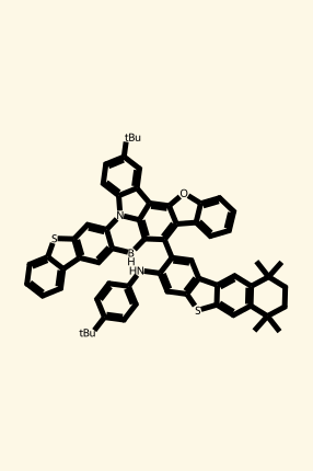 CC(C)(C)c1ccc(Nc2cc3sc4cc5c(cc4c3cc2-c2c3c4c(c6cc(C(C)(C)C)ccc6n4-c4cc6sc7ccccc7c6cc4B3)c3oc4ccccc4c23)C(C)(C)CCC5(C)C)cc1